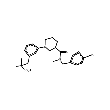 CC(C)c1ccc(CN(C)C(=O)C2CCCN(c3cccc(OC(C)(C)C(=O)O)c3)C2)cc1